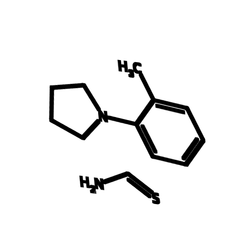 Cc1ccccc1N1CCCC1.NC=S